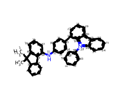 CC1(C)c2ccccc2-c2c(Nc3ccc(-c4cccc5c6ccccc6n(-c6ccccc6)c45)cc3)cccc21